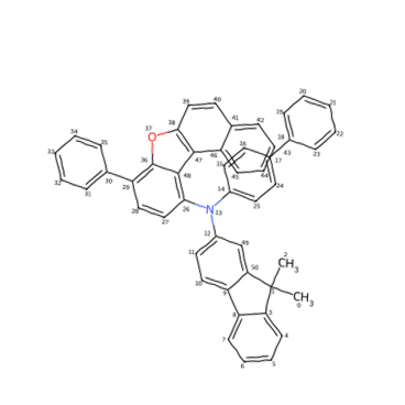 CC1(C)c2ccccc2-c2ccc(N(c3ccc(-c4ccccc4)cc3)c3ccc(-c4ccccc4)c4oc5ccc6ccccc6c5c34)cc21